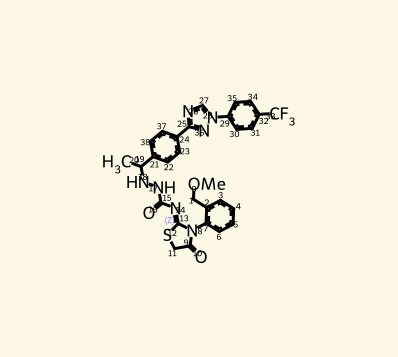 COCc1ccccc1N1C(=O)CS/C1=N\C(=O)NNC(C)c1ccc(-c2ncn(-c3ccc(C(F)(F)F)cc3)n2)cc1